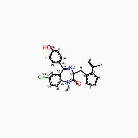 C=C(C)c1ccccc1CC1N=C(c2ccc(O)cc2)c2cc(Cl)ccc2N(C)C1=O